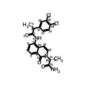 C[C@H](C(=O)Nc1cccc2c(=O)n([C@H](C)C(N)=O)ccc12)c1ccc(Cl)c(Cl)c1